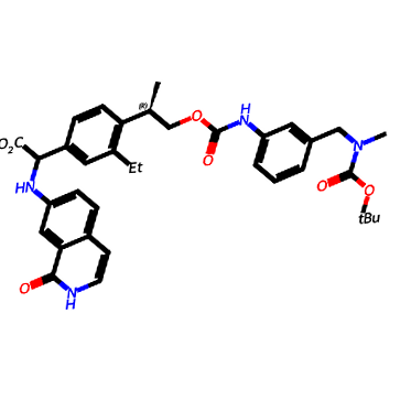 CCc1cc(C(Nc2ccc3cc[nH]c(=O)c3c2)C(=O)O)ccc1[C@@H](C)COC(=O)Nc1cccc(CN(C)C(=O)OC(C)(C)C)c1